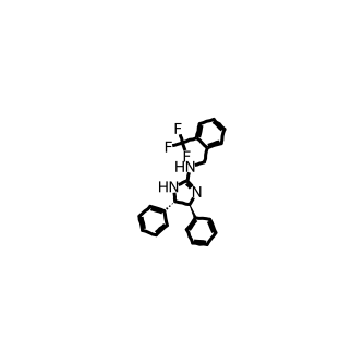 FC(F)(F)c1ccccc1CNC1=N[C@@H](c2ccccc2)[C@H](c2ccccc2)N1